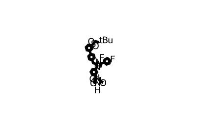 CC(C)(C)CCS(=O)(=O)c1cccc(-c2ccc(Cc3nc(-c4ccc(F)cc4F)cn3-c3cccc(N4CC(=O)NS4(=O)=O)c3)cc2)c1